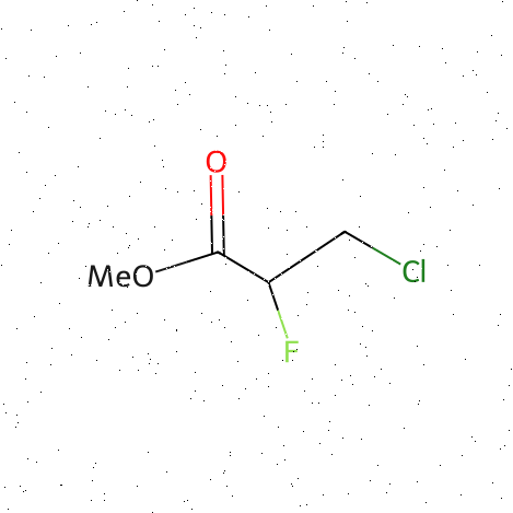 COC(=O)C(F)CCl